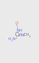 CNCc1cc(CN)ccc1NCCC=O